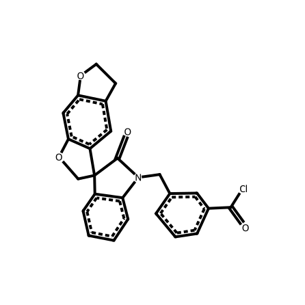 O=C(Cl)c1cccc(CN2C(=O)C3(COc4cc5c(cc43)CCO5)c3ccccc32)c1